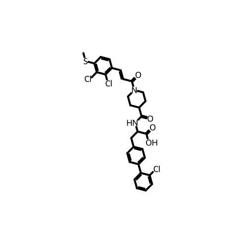 CSc1ccc(C=CC(=O)N2CCC(C(=O)NC(Cc3ccc(-c4ccccc4Cl)cc3)C(=O)O)CC2)c(Cl)c1Cl